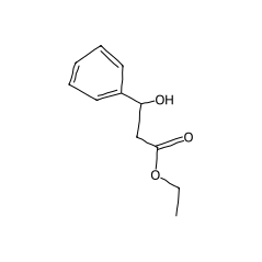 CCOC(=O)CC(O)c1ccccc1